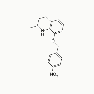 CC1CCc2cccc(OCc3ccc([N+](=O)[O-])cc3)c2N1